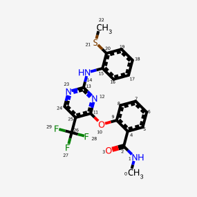 CNC(=O)c1ccccc1Oc1nc(Nc2ccccc2SC)ncc1C(F)(F)F